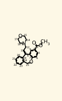 COC(=O)c1ccc2c(c1)C(=CCN1CCOCC1)c1ccccc1CO2